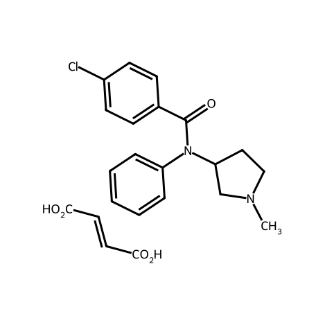 CN1CCC(N(C(=O)c2ccc(Cl)cc2)c2ccccc2)C1.O=C(O)C=CC(=O)O